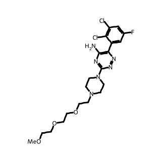 COCCOCCOCCN1CCN(c2nnc(-c3cc(F)cc(Cl)c3Cl)c(N)n2)CC1